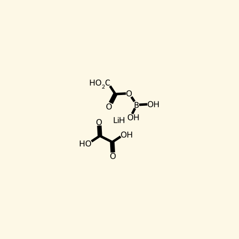 O=C(O)C(=O)O.O=C(O)C(=O)OB(O)O.[LiH]